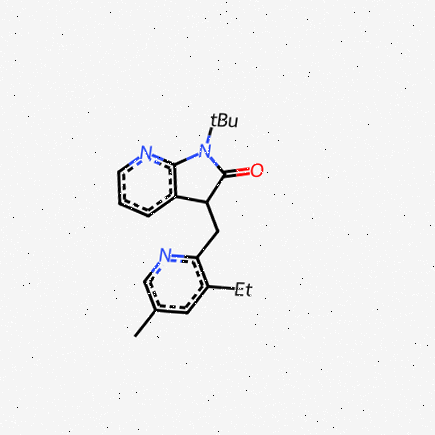 CCc1cc(C)cnc1CC1C(=O)N(C(C)(C)C)c2ncccc21